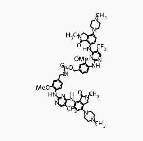 COc1cc(CO[PH](=O)OCc2ccc(Nc3ncc(C(F)(F)F)c(Nc4ccc(N5CCN(C)CC5)c5c4C(=O)N(C)C5)n3)c(OC)c2)ccc1Nc1ncc(C(F)(F)F)c(Nc2ccc(N3CCN(C)CC3)c3c2C(=O)N(C)C3)n1